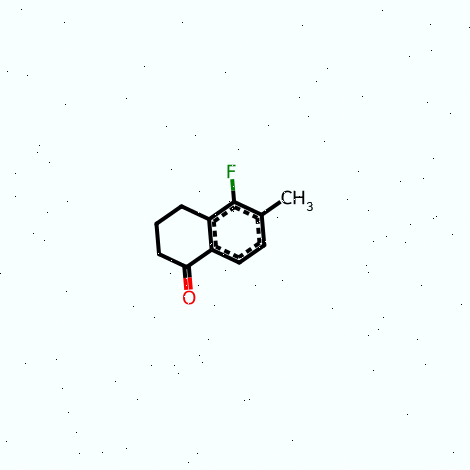 Cc1ccc2c(c1F)CCCC2=O